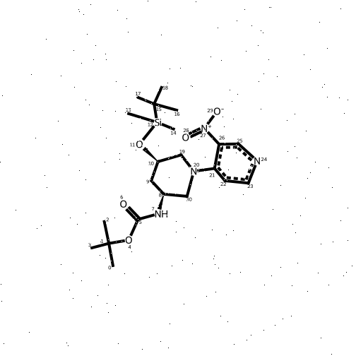 CC(C)(C)OC(=O)N[C@H]1C[C@@H](O[Si](C)(C)C(C)(C)C)CN(c2ccncc2[N+](=O)[O-])C1